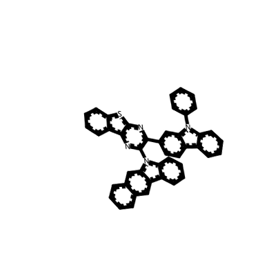 c1ccc(-n2c3ccccc3c3ccc(-c4nc5sc6ccccc6c5nc4-n4c5ccccc5c5cc6ccccc6cc54)cc32)cc1